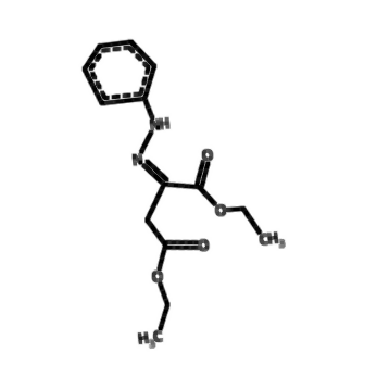 CCOC(=O)CC(=NNc1ccccc1)C(=O)OCC